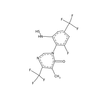 Cc1c(C(F)(F)F)ncn(-c2c(F)cc(C(F)(F)F)cc2NS)c1=O